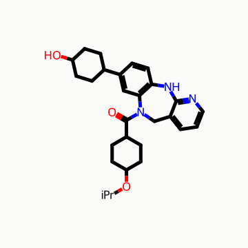 CC(C)OC1CCC(C(=O)N2Cc3cccnc3Nc3ccc(C4CCC(O)CC4)cc32)CC1